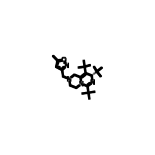 Cc1cc(CN2CCN3C(C(C)(C)C)=N[C@@H](C(C)(C)C)C(C(C)(C)C)=C3C2)no1